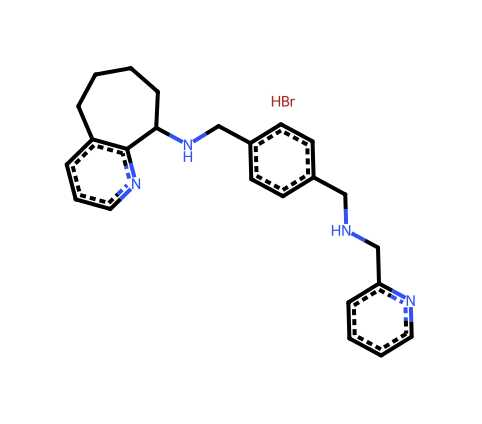 Br.c1ccc(CNCc2ccc(CNC3CCCCc4cccnc43)cc2)nc1